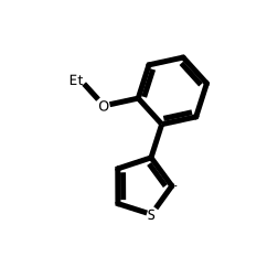 CCOc1ccccc1-c1[c]scc1